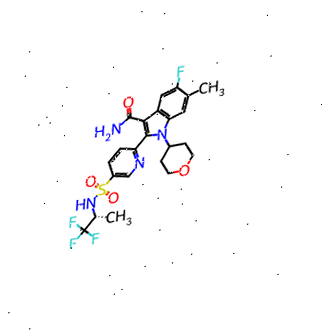 Cc1cc2c(cc1F)c(C(N)=O)c(-c1ccc(S(=O)(=O)N[C@H](C)C(F)(F)F)cn1)n2C1CCOCC1